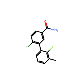 Cc1cccc(-c2cc(C(N)=O)ccc2Cl)c1F